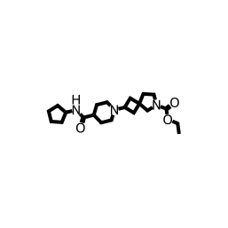 CCOC(=O)N1CCC2(CC(N3CCC(C(=O)NC4CCCC4)CC3)C2)C1